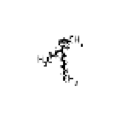 [CH2]C1COC(C(CCCC)CCCCCCC)O1